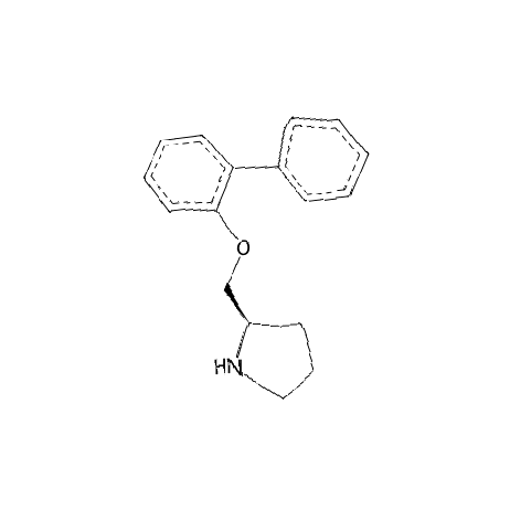 c1ccc(-c2ccccc2OC[C@H]2CCCN2)cc1